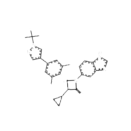 O=C1C(C2CC2)[C@H](c2c(F)cc(-c3cnn(C(F)(F)F)c3)cc2F)N1c1ccc2[nH]cnc2c1